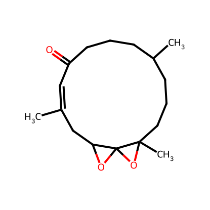 CC1=CC(=O)CCCC(C)CCCC2(C)OC23OC3C1